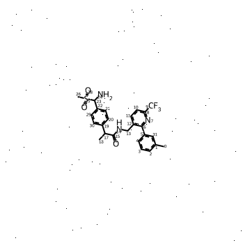 Cc1cccc(-c2nc(C(F)(F)F)ccc2CNC(=O)C(C)c2ccc(C(N)S(C)(=O)=O)cc2)c1